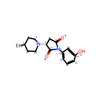 CCC1CCN([C@@H]2CC(=O)N(c3cccc(O)c3)C2=O)CC1